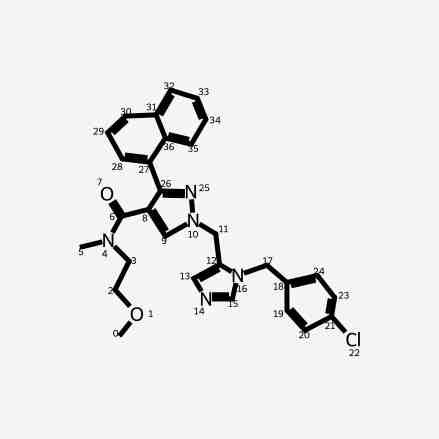 COCCN(C)C(=O)c1cn(Cc2cncn2Cc2ccc(Cl)cc2)nc1-c1cccc2ccccc12